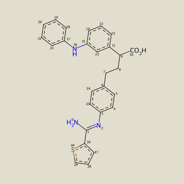 NC(=Nc1ccc(CCC(C(=O)O)c2cccc(Nc3ccccc3)c2)cc1)c1cccs1